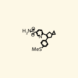 CSc1ccc(C2=C(c3ccc(S(N)(=O)=O)cn3)CC3(CC3)C2)cc1